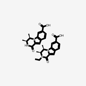 CCN1C(=O)c2cc3ccc(C(=O)O)cc3n2[C@H](C)[C@@H]1C.C[C@@H]1NC(=O)c2cc3ccc(C(=O)O)cc3n2[C@@H]1C